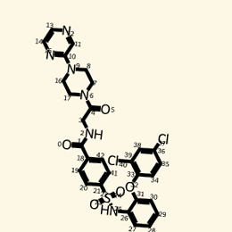 O=C(NCC(=O)N1CCN(c2cnccn2)CC1)c1ccc(S(=O)(=O)Nc2ccccc2Oc2ccc(Cl)cc2Cl)cc1